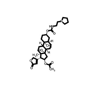 CC(=O)O[C@H]1C[C@]2(O)[C@@H]3CC[C@@H]4C[C@@H](OC(=O)NCCN5CCCC5)CC[C@]4(C)[C@H]3CC[C@]2(C)[C@H]1C1=CC(=O)OC1